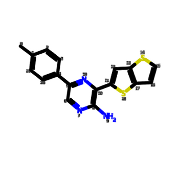 Cc1ccc(-c2cnc(N)c(-c3cc4sccc4s3)n2)cc1